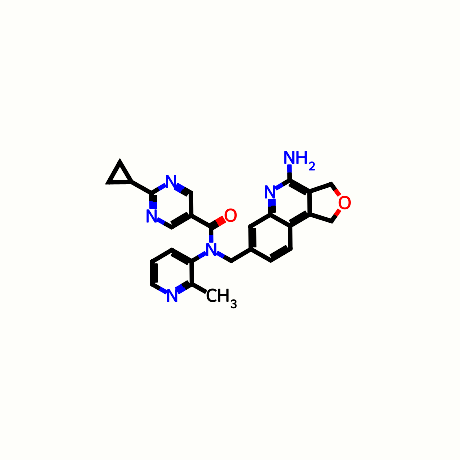 Cc1ncccc1N(Cc1ccc2c3c(c(N)nc2c1)COC3)C(=O)c1cnc(C2CC2)nc1